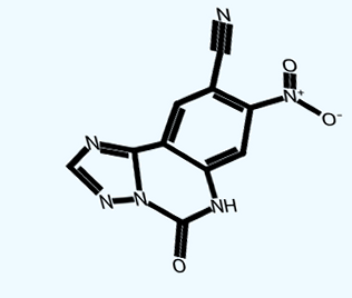 N#Cc1cc2c(cc1[N+](=O)[O-])[nH]c(=O)n1ncnc21